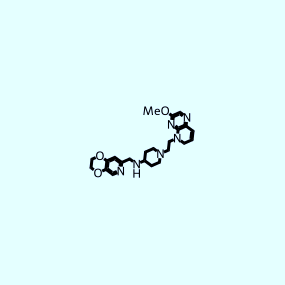 COc1cnc2c(n1)N(CCN1CCC(NCc3cc4c(cn3)OCCO4)CC1)CC=C2